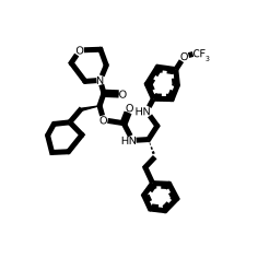 O=C(N[C@@H](CCc1ccccc1)CNc1ccc(OC(F)(F)F)cc1)O[C@@H](CC1CCCCC1)C(=O)N1CCOCC1